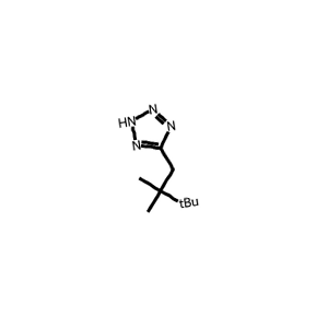 CC(C)(C)C(C)(C)Cc1nn[nH]n1